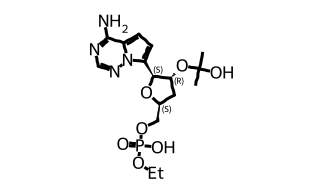 CCOP(=O)(O)OC[C@@H]1C[C@@H](OC(C)(C)O)[C@H](c2ccc3c(N)ncnn23)O1